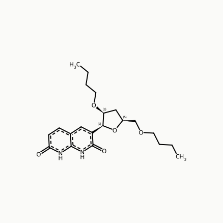 CCCCOC[C@@H]1C[C@H](OCCCC)[C@H](c2cc3ccc(=O)[nH]c3[nH]c2=O)O1